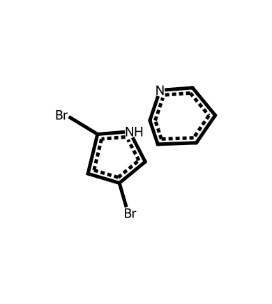 Brc1c[nH]c(Br)c1.c1ccncc1